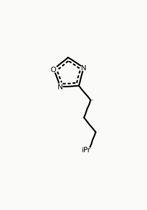 CC(C)CC[CH]c1ncon1